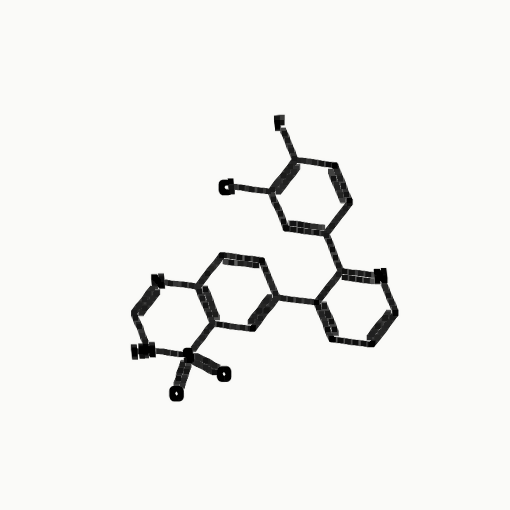 O=S1(=O)NC=Nc2ccc(-c3cccnc3-c3ccc(F)c(Cl)c3)cc21